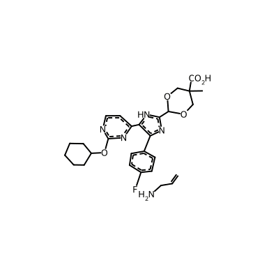 C=CCN.CC1(C(=O)O)COC(c2nc(-c3ccc(F)cc3)c(-c3ccnc(OC4CCCCC4)n3)[nH]2)OC1